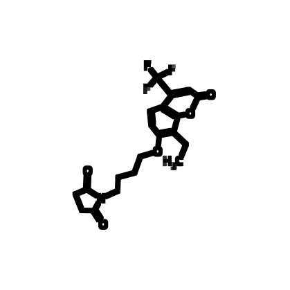 CCc1c(OCCCCN2C(=O)CCC2=O)ccc2c(C(F)(F)F)cc(=O)oc12